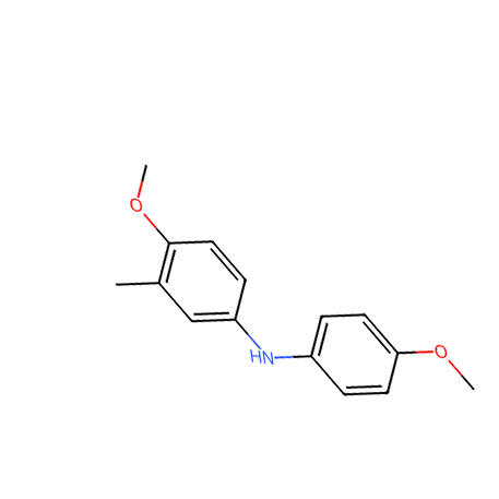 COc1ccc(Nc2ccc(OC)c(C)c2)cc1